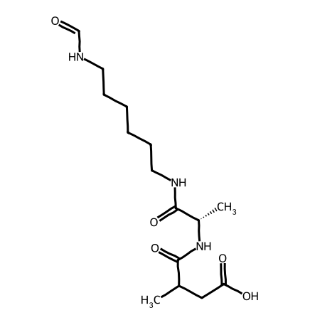 CC(CC(=O)O)C(=O)N[C@@H](C)C(=O)NCCCCCCNC=O